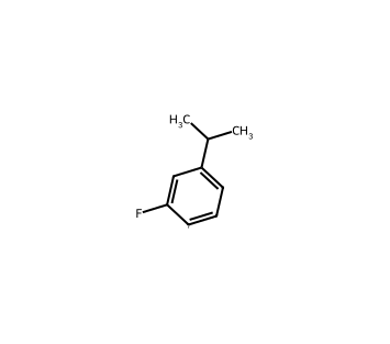 CC(C)c1cc[c]c(F)c1